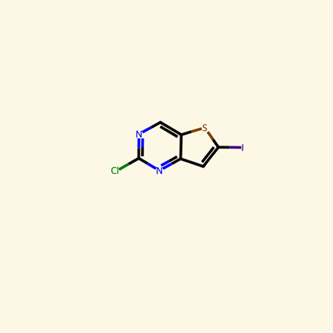 Clc1ncc2sc(I)cc2n1